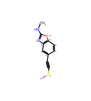 CNc1nc2cc(C#CSI)ccc2o1